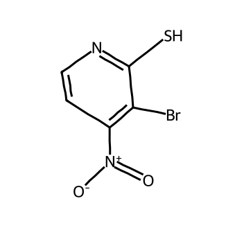 O=[N+]([O-])c1ccnc(S)c1Br